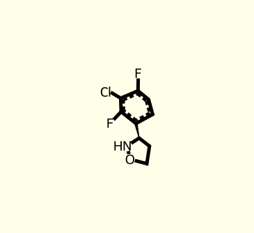 Fc1ccc([C@H]2CCON2)c(F)c1Cl